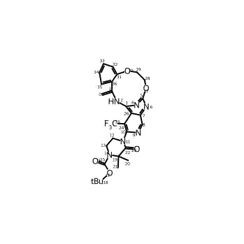 C=C1Nc2nc(nc3cnc(N4CCN(C(=O)OC(C)(C)C)C(C)(C)C4=O)c(C(F)(F)F)c23)OCCOc2ccccc21